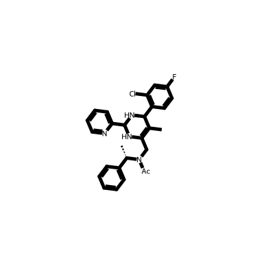 CC(=O)N(CC1=C(C)C(c2ccc(F)cc2Cl)NC(c2ccccn2)N1)[C@@H](C)c1ccccc1